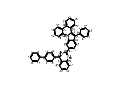 c1ccc(-c2ccc(-c3nc(-c4ccc5c(-c6ccccc6)c6c7ccccc7c7ccccc7n6c5c4)nc4ccccc34)cc2)cc1